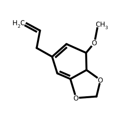 C=CCC1=CC(OC)C2OCOC2=C1